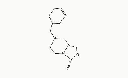 O=C1OCC2CN(CC3=CC=CCC3)CCN12